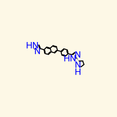 c1nc(-c2ccc3cc(-c4ccc(-c5cnc([C@@H]6CCCN6)[nH]5)cc4)ccc3c2)c[nH]1